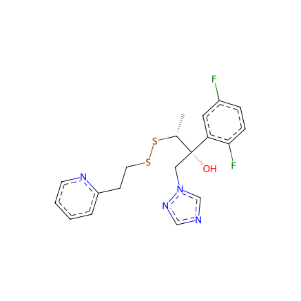 C[C@@H](SSCCc1ccccn1)[C@](O)(Cn1cncn1)c1cc(F)ccc1F